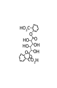 O=C(O)c1ccccc1OC(=O)C(O)C(O)C(O)C(O)C(=O)Oc1ccccc1C(=O)O